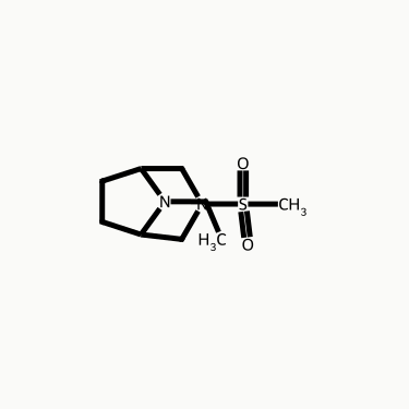 CCN1C2CCC1CN(S(C)(=O)=O)C2